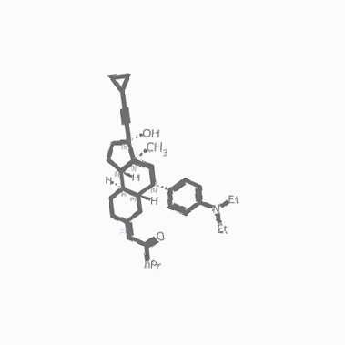 CCCC(=O)/C=C1/CC[C@@H]2[C@@H](C1)[C@@H](c1ccc(N(CC)CC)cc1)C[C@@]1(C)[C@H]2CC[C@@]1(O)C#CC1CC1